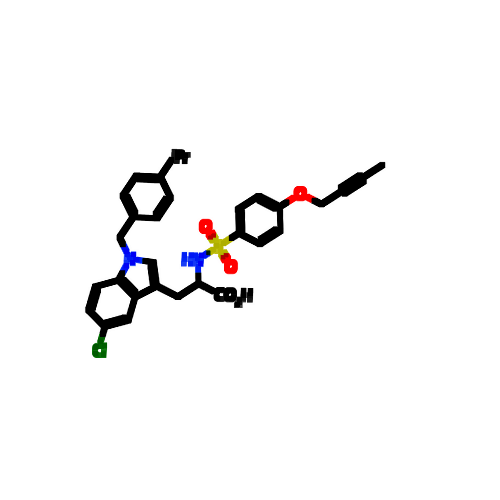 CC#CCOc1ccc(S(=O)(=O)NC(Cc2cn(Cc3ccc(C(C)C)cc3)c3ccc(Cl)cc23)C(=O)O)cc1